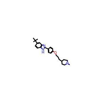 CN1CCC(CCCOc2ccc(-c3nc4cc(C(C)(C)C)ccc4[nH]3)cc2)CC1